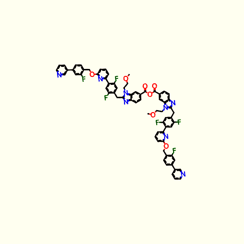 COCCn1c(Cc2cc(F)c(-c3cccc(OCc4ccc(-c5cccnc5)cc4F)n3)cc2F)nc2ccc(C(=O)OC(=O)c3ccc4nc(Cc5cc(F)c(-c6cccc(OCc7ccc(-c8cccnc8)cc7F)n6)cc5F)n(CCOC)c4c3)cc21